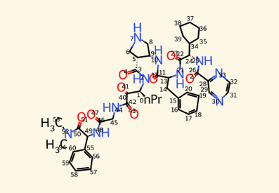 CCC[C@H](NC(=O)[C@@H]1CNC[C@@H]1NC(=O)C(Cc1ccccc1)NC(=O)[C@@H](NC(=O)c1cnccn1)C1CCCCC1)C(=O)C(=O)NCC(=O)N[C@H](C(=O)N(C)C)c1ccccc1